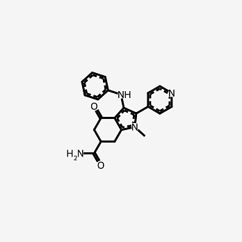 Cn1c2c(c(Nc3ccccc3)c1-c1ccncc1)C(=O)CC(C(N)=O)C2